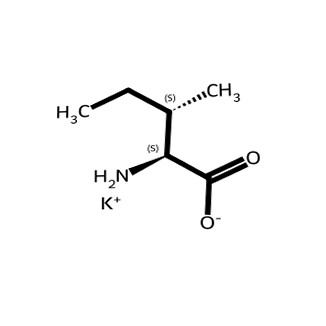 CC[C@H](C)[C@H](N)C(=O)[O-].[K+]